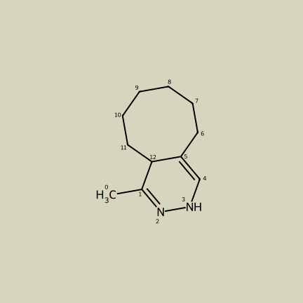 CC1=NNC=C2CCCCCCC21